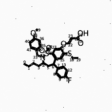 CCCCC1CC(c2ccc(F)cc2)c2cc(SCC)c(O/C=C/C(=O)O)cc2S(=O)(=O)N1Cc1ccc(OC)cc1